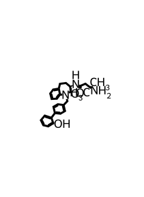 CC(C)(N)CC(=O)N[C@@H]1CCc2ccccc2N(Cc2ccc(-c3ccccc3O)cc2)C1=O